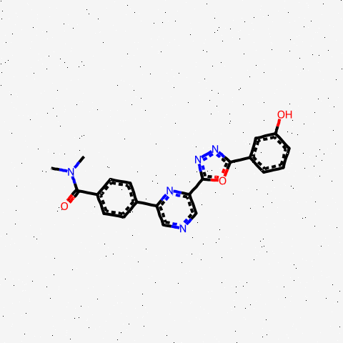 CN(C)C(=O)c1ccc(-c2cncc(-c3nnc(-c4cccc(O)c4)o3)n2)cc1